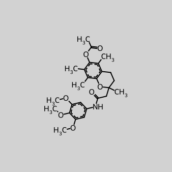 COc1cc(NC(=O)CC2(C)CCc3c(C)c(OC(C)=O)c(C)c(C)c3O2)cc(OC)c1OC